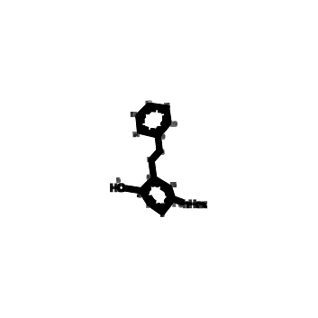 CCCCCCc1ccc(O)c(CCc2ccccc2)c1